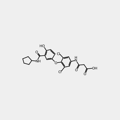 O=C(O)CC(=O)Nc1cc(Cl)c(Oc2ccc(O)c(C(=O)NC3CCCC3)c2)c(Cl)c1